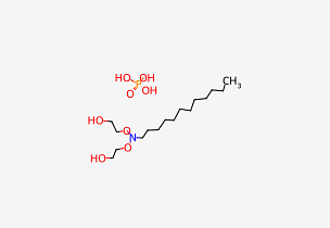 CCCCCCCCCCCCN(OCCO)OCCO.O=P(O)(O)O